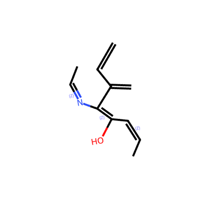 C=CC(=C)C(/N=C\C)=C(O)\C=C/C